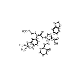 CCCCN(C(=O)CN1C[C@H](c2ccc3c(c2)CCO3)[C@@H](C(=O)O)[C@@H]1CCN1CCCCC1=O)c1cccc(C[N+](C)(C)C)c1